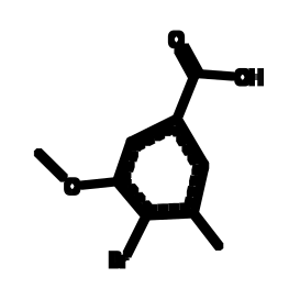 COc1cc(C(=O)O)cc(C)c1Br